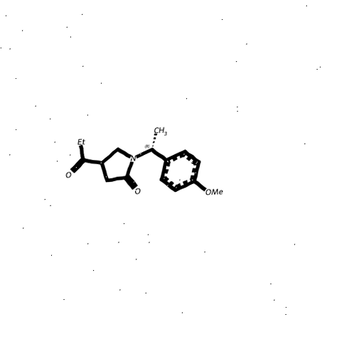 CCC(=O)C1CC(=O)N([C@H](C)c2ccc(OC)cc2)C1